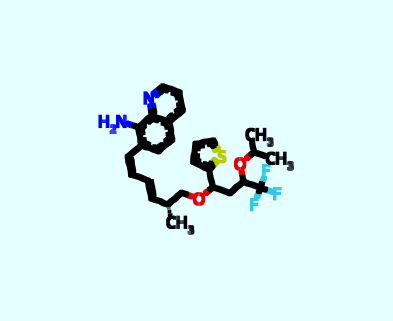 CC(C)OC(CC(OC[C@H](C)/C=C/C=C\c1ccc2cccnc2c1N)c1cccs1)C(F)(F)F